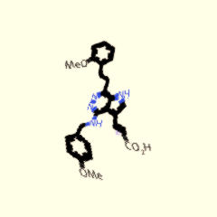 COc1ccc(CNc2nnc(CCc3ccccc3OC)c3[nH]cc(/C=C/C(=O)O)c23)cc1